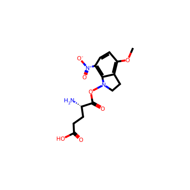 COc1ccc([N+](=O)[O-])c2c1CCN2OC(=O)[C@@H](N)CCC(=O)O